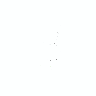 C#CC1CCC(F)(F)CC1C(=O)OCC